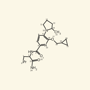 CC(C)CC(NC(=O)c1ccc(N2CCCC2C)c(OCC2CC2)n1)C(N)=O